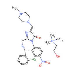 CN1CCN(/C=C2\N=C3CN=C(c4ccccc4Cl)c4cc([N+](=O)[O-])ccc4N3C2=O)CC1.C[N+](C)(C)CCO